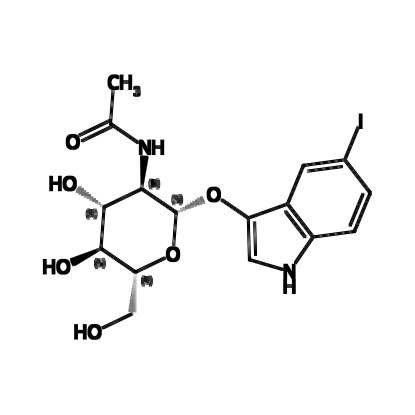 CC(=O)N[C@H]1[C@H](Oc2c[nH]c3ccc(I)cc23)O[C@H](CO)[C@@H](O)[C@@H]1O